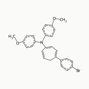 COc1ccc(N(C2=CC=C(c3ccc(Br)cc3)CC=C2)c2ccc(OC)cc2)cc1